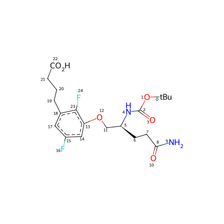 CC(C)(C)OC(=O)N[C@@H](CCC(N)=O)COc1cc(F)cc(CCCC(=O)O)c1F